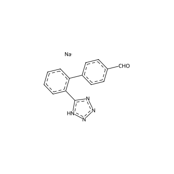 O=Cc1ccc(-c2ccccc2-c2nnn[nH]2)cc1.[Na]